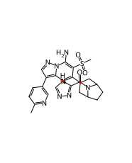 Cc1ccc(-c2cnn3c(N)c(S(C)(=O)=O)c(C4CC5CCC(C4)N5C(=O)c4nnc[nH]4)nc23)cn1